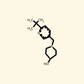 CC(C)(C)c1ccc(CN2CCC(O)CC2)cn1